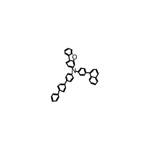 c1ccc(-c2ccc(-c3ccc(N(c4ccc(-c5cccc6ccccc56)cc4)c4ccc5c(c4)oc4ccccc45)cc3)cc2)cc1